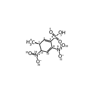 C[C@H]1C=C(S(=O)(=O)O)C([N+](=O)[O-])=CC1[N+](=O)[O-]